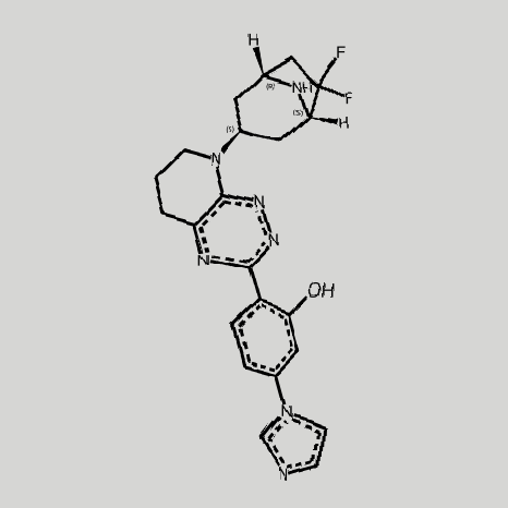 Oc1cc(-n2ccnc2)ccc1-c1nnc2c(n1)CCCN2[C@H]1C[C@@H]2CC(F)(F)[C@H](C1)N2